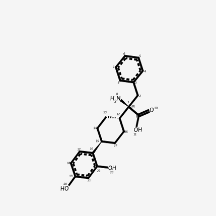 N[C@@](Cc1ccccc1)(C(=O)O)[C@H]1CC[C@H](c2ccc(O)cc2O)CC1